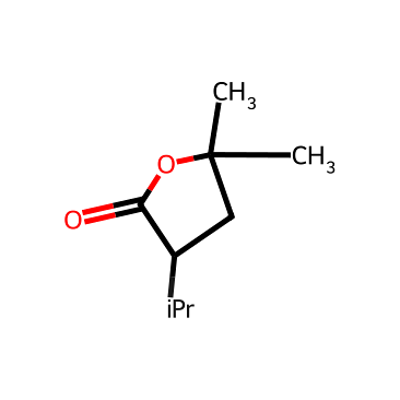 CC(C)C1CC(C)(C)OC1=O